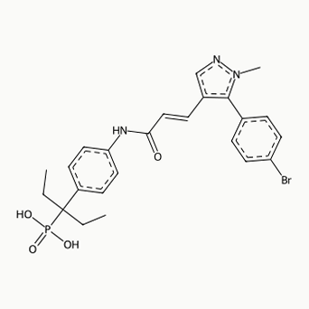 CCC(CC)(c1ccc(NC(=O)C=Cc2cnn(C)c2-c2ccc(Br)cc2)cc1)P(=O)(O)O